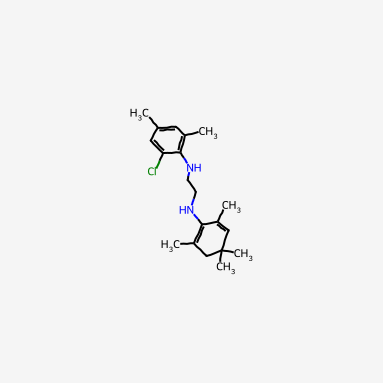 CC1=CC(C)(C)CC(C)=C1NCCNc1c(C)cc(C)cc1Cl